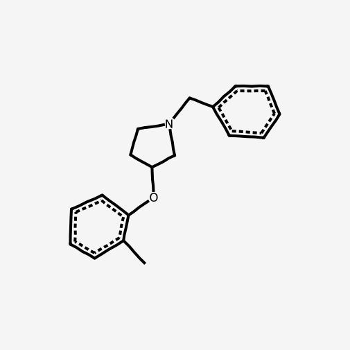 Cc1ccccc1OC1CCN(Cc2ccccc2)C1